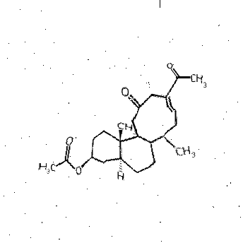 CC(=O)O[C@H]1CC[C@]2(C)C3CC(=O)C/C(C(C)=O)=C\CC(C)C3CC[C@H]2C1